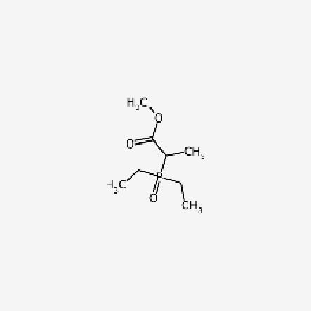 CCP(=O)(CC)C(C)C(=O)OC